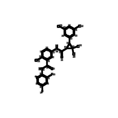 O=C(Nc1ncc(F)cc1F)c1cc(NC(=O)C2C(c3cc(Cl)cc(Cl)c3)C2(Cl)Cl)ccc1Cl